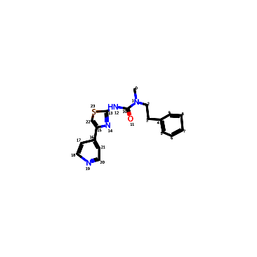 CN(CCc1ccccc1)C(=O)Nc1nc(-c2ccncc2)cs1